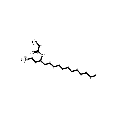 CCCCCCCCCCCCC(CCN)OC(=O)CN